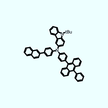 CC(C)(C)n1c2ccccc2c2cc(N(c3ccc(-c4ccc5ccccc5c4)cc3)c3ccc(-c4c5ccccc5c(-c5ccccc5)c5ccccc45)cc3)ccc21